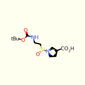 CC(C)(C)OC(=O)NCC[S+]([O-])n1ccc(C(=O)O)c1